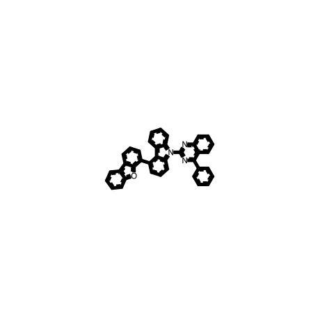 c1ccc(-c2nc(-n3c4ccccc4c4c(-c5cccc6c5oc5ccccc56)cccc43)nc3ccccc23)cc1